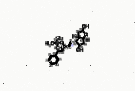 CC(C)(C)[Si](C)(C)O[C@@H](/C=C/[C@@H]1[C@H]2CC(O)O[C@H]2C[C@H]1O)CCc1ccccc1